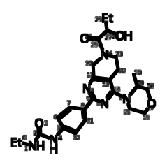 CCNC(=O)Nc1ccc(-c2nc3c(c(N4CCOCC4C)n2)CCN(C(=O)C(O)CC)C3)cc1